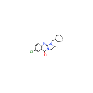 CC1Cn2c(nc3ccc(Cl)cc3c2=O)N1CC1CCCCC1